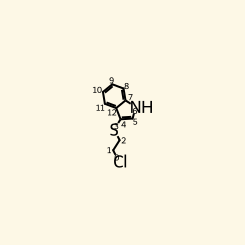 ClCCSc1c[nH]c2ccccc12